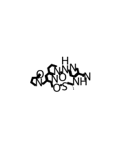 CSC[C@@H](C)Nc1cc(NC(=O)N2CCCc3cc(CN4CCCC4=O)c(C=O)nc32)ncc1C#N